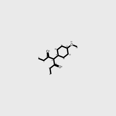 CCC(=O)C(C(=O)CC)C1CCC(OC)CC1